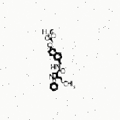 CCCc1c(C(=O)NCc2ccc3cc(OCC(=O)OC)ccc3c2)cnn1-c1ccccc1